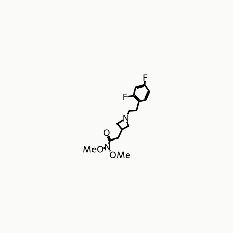 CON(OC)C(=O)CC1CN(CCc2ccc(F)cc2F)C1